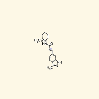 Cc1n[nH]c2cc(/C=C/C(=O)N[C@@H]3CCCC[C@H]3C)ccc12